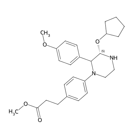 COC(=O)CCc1ccc(N2CCN[C@@H](OC3CCCC3)C2c2ccc(OC)cc2)cc1